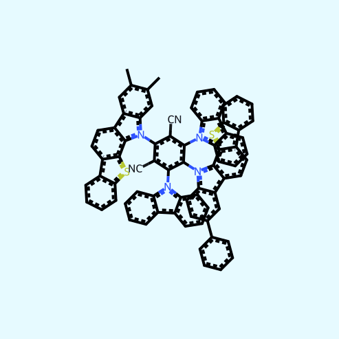 Cc1cc2c3ccc4c5ccccc5sc4c3n(-c3c(C#N)c(-n4c5ccccc5c5ccccc54)c(-n4c5ccc(-c6ccccc6)cc5c5ccc6c7ccccc7sc6c54)c(-n4c5ccccc5c5ccccc54)c3C#N)c2cc1C